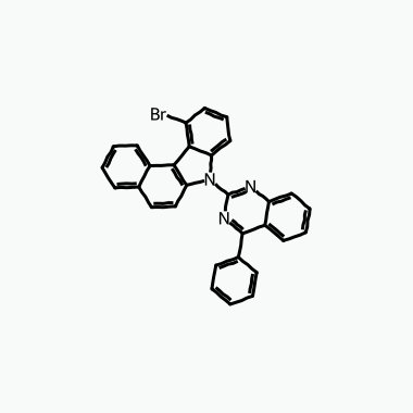 Brc1cccc2c1c1c3ccccc3ccc1n2-c1nc(-c2ccccc2)c2ccccc2n1